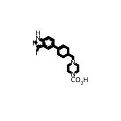 O=C(O)N1CCN(CC2CC=C(c3ccc4[nH]nc(I)c4c3)CC2)CC1